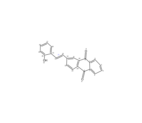 O=C1c2ccccc2C(=O)c2cc(/C=C/c3ccccc3O)ccc21